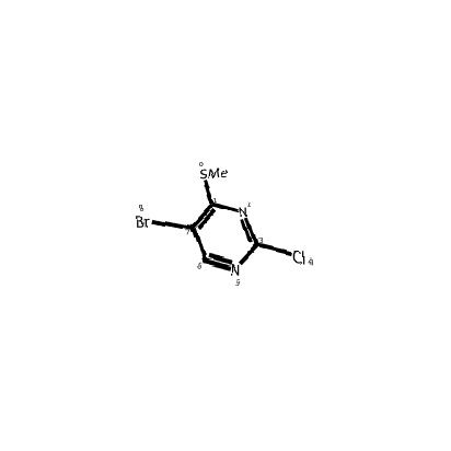 CSc1nc(Cl)ncc1Br